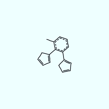 Cc1cccc(C2=CC=CC2)c1C1=CC=CC1